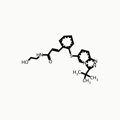 CC(C)(C)c1nnc2ccc(Sc3ccccc3/C=C/C(=O)NCCO)cn12